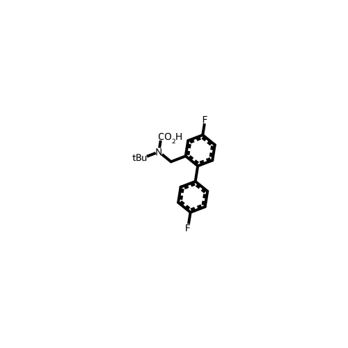 CC(C)(C)N(Cc1cc(F)ccc1-c1ccc(F)cc1)C(=O)O